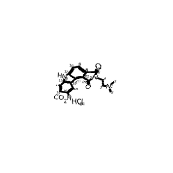 CN(C)CCN1C(=O)c2ccc3[nH]c4ccc(C(=O)O)cc4c3c2C1=O.Cl